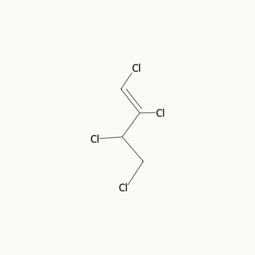 ClC=C(Cl)C(Cl)CCl